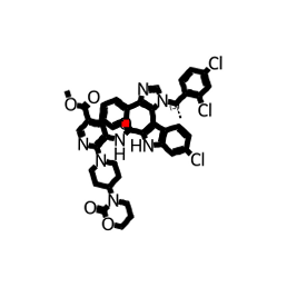 COC(=O)c1cnc(N2CCC(N3CCCOC3=O)CC2)c(NC(=O)c2[nH]c3cc(Cl)ccc3c2-c2c(-c3ccccc3)ncn2[C@@H](C)c2ccc(Cl)cc2Cl)c1